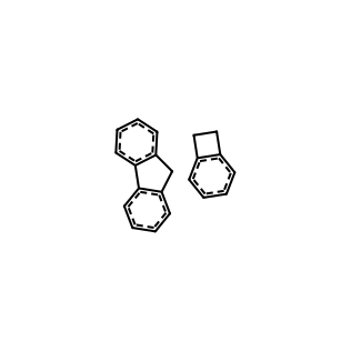 c1ccc2c(c1)CC2.c1ccc2c(c1)Cc1ccccc1-2